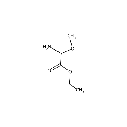 CCOC(=O)C(N)OC